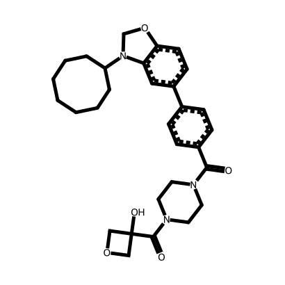 O=C(c1ccc(-c2ccc3c(c2)N(C2CCCCCCC2)CO3)cc1)N1CCN(C(=O)C2(O)COC2)CC1